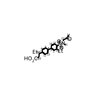 CCc1cc(-c2ccc([C@@H](CC)CC(=O)O)cc2)ccc1S(=O)(=O)N(C)CC1CO1